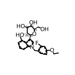 CCOc1ccc(Cn2cc([C@@H]3O[C@H](CO)[C@@H](O)[C@H](O)[C@H]3O)c3c(C)cccc32)c(F)c1